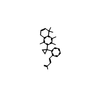 Cc1c(C)c(C2(c3ccccc3C=CC(N)=O)CC2)c(C)c2c1C(C)(C)C=CC2